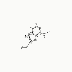 C=Cc1cc2c(OC)cccc2[nH]1